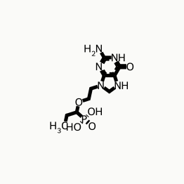 CCC(OCCN1CNc2c1nc(N)[nH]c2=O)P(=O)(O)O